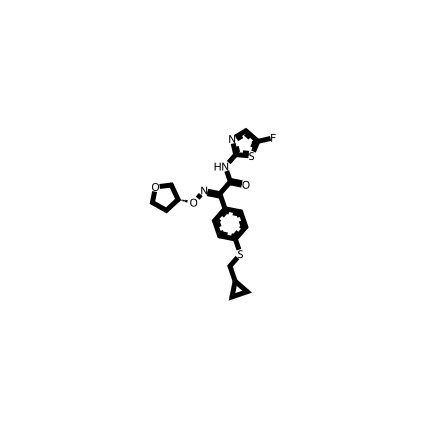 O=C(Nc1ncc(F)s1)/C(=N/O[C@@H]1CCOC1)c1ccc(SCC2CC2)cc1